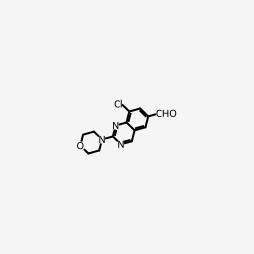 O=Cc1cc(Cl)c2nc(N3CCOCC3)ncc2c1